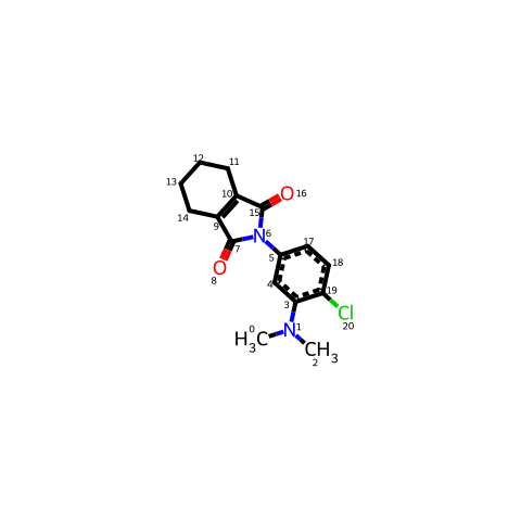 CN(C)c1cc(N2C(=O)C3=C(CCCC3)C2=O)ccc1Cl